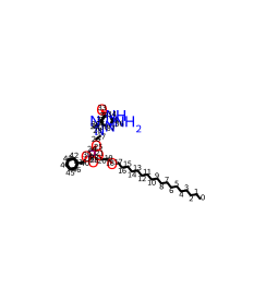 CCCCCCCCCCCCCCCCCCOCCO[P@@](=O)(COCCn1cnc2c(=O)[nH]c(N)nc21)OCc1ccccc1